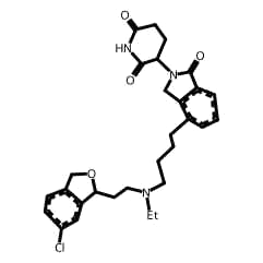 CCN(CCCCc1cccc2c1CN(C1CCC(=O)NC1=O)C2=O)CCC1OCc2ccc(Cl)cc21